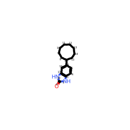 O=c1[nH]c2ccc(C3CCCCCCCC3)cc2[nH]1